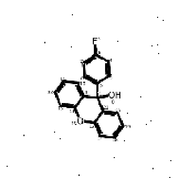 OC1(c2ccc(F)cc2)c2ccccc2Oc2ccccc21